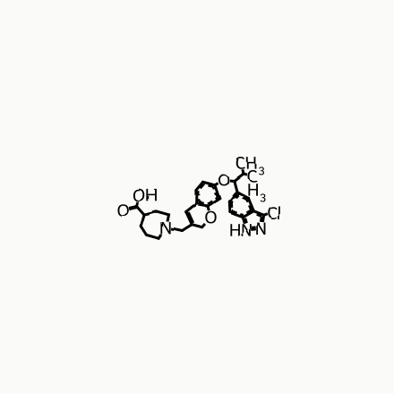 CC(C)C(Oc1ccc2c(c1)OCC(CN1CCCC(C(=O)O)CC1)=C2)c1ccc2[nH]nc(Cl)c2c1